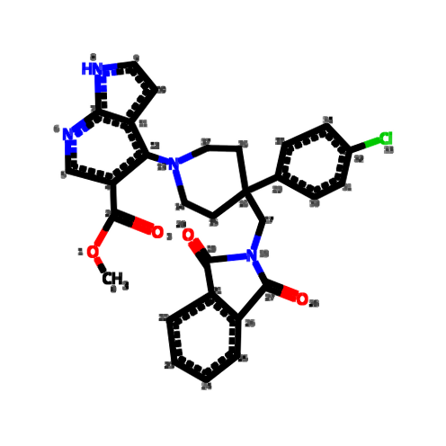 COC(=O)c1cnc2[nH]ccc2c1N1CCC(CN2C(=O)c3ccccc3C2=O)(c2ccc(Cl)cc2)CC1